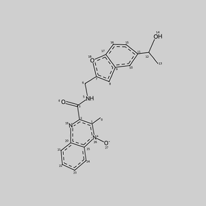 Cc1c(C(=O)NCc2cc3cc(C(C)O)ccc3o2)nc2ccccc2[n+]1[O-]